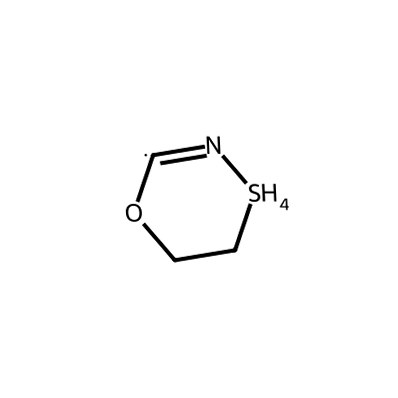 [C]1=N[SH4]CCO1